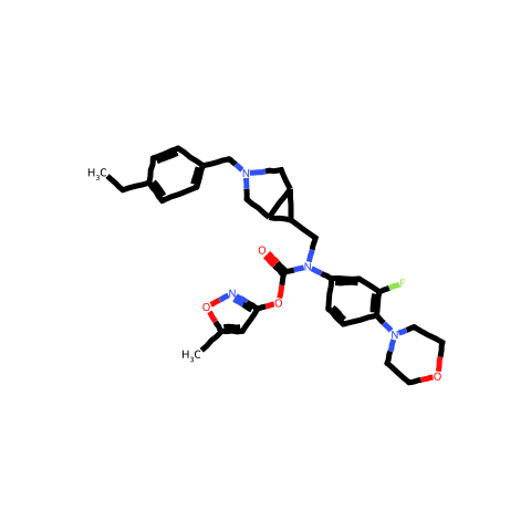 CCc1ccc(CN2CC3C(C2)C3CN(C(=O)Oc2cc(C)on2)c2ccc(N3CCOCC3)c(F)c2)cc1